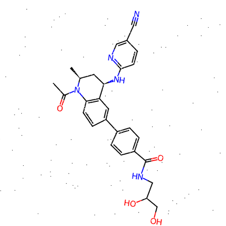 CC(=O)N1c2ccc(-c3ccc(C(=O)NCC(O)CO)cc3)cc2[C@H](Nc2ccc(C#N)cn2)C[C@@H]1C